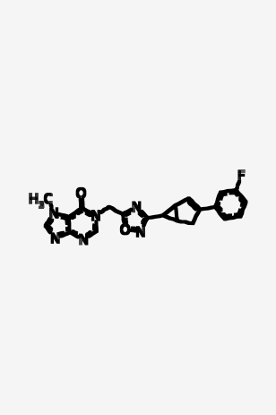 Cn1cnc2ncn(Cc3nc(C4C5C=C(c6cccc(F)c6)CC54)no3)c(=O)c21